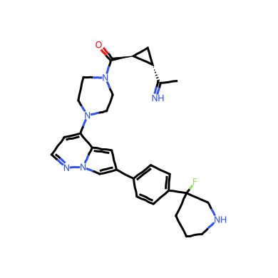 CC(=N)[C@H]1C[C@@H]1C(=O)N1CCN(c2ccnn3cc(-c4ccc(C5(F)CCCNC5)cc4)cc23)CC1